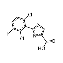 O=C(O)c1csc(-c2c(Cl)ccc(I)c2Cl)n1